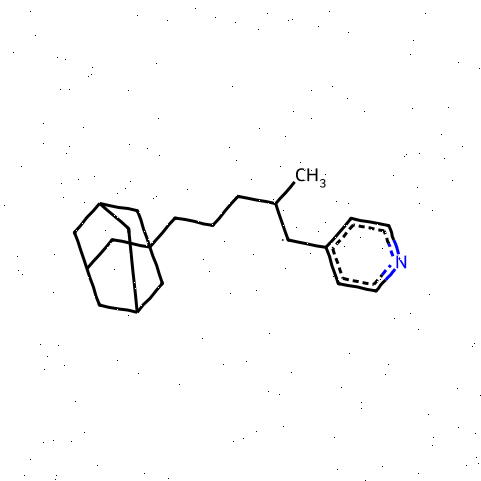 CC([CH]c1ccncc1)CCCC12CC3CC(CC(C3)C1)C2